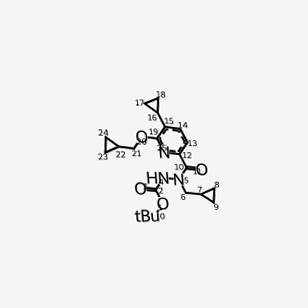 CC(C)(C)OC(=O)NN(CC1CC1)C(=O)c1ccc(C2CC2)c(OCC2CC2)n1